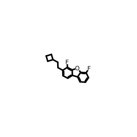 Fc1cccc2c1oc1c(F)c(CCC3CCC3)ccc12